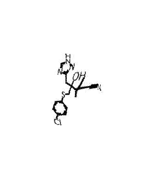 CC(C)(C#N)C(O)(CSc1ccc(Cl)cc1)Cc1nc[nH]n1